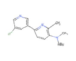 CCCCN(C)c1ccc(-c2cncc(Cl)c2)nc1C